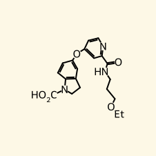 CCOCCCNC(=O)c1cc(Oc2ccc3c(c2)CCN3C(=O)O)ccn1